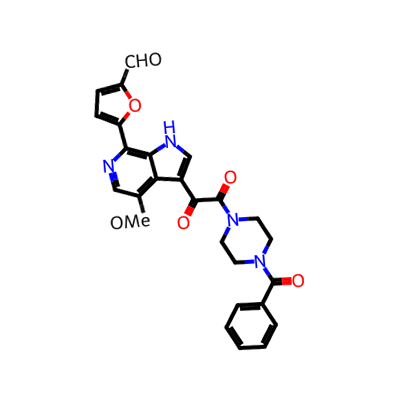 COc1cnc(-c2ccc(C=O)o2)c2[nH]cc(C(=O)C(=O)N3CCN(C(=O)c4ccccc4)CC3)c12